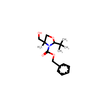 CC(C)(C)C1OCC(C)(CO)N1C(=O)OCc1ccccc1